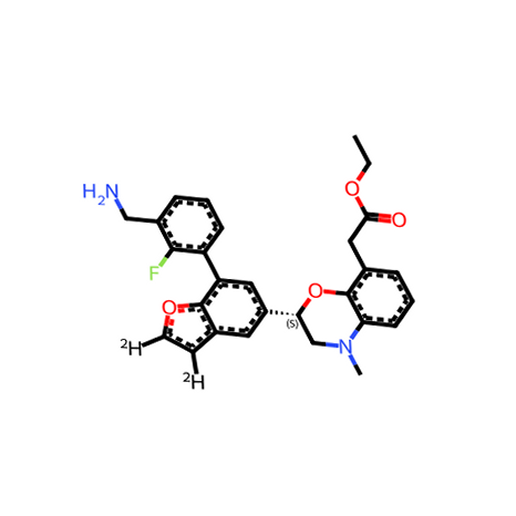 [2H]c1oc2c(-c3cccc(CN)c3F)cc([C@H]3CN(C)c4cccc(CC(=O)OCC)c4O3)cc2c1[2H]